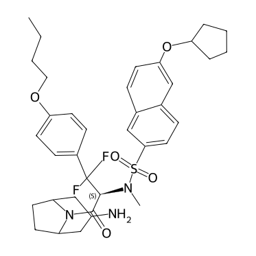 CCCCOc1ccc(C(F)(F)[C@H](C(=O)N2C3CCC2CC(N)C3)N(C)S(=O)(=O)c2ccc3cc(OC4CCCC4)ccc3c2)cc1